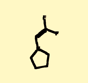 FC(F)=CN1CCCC1